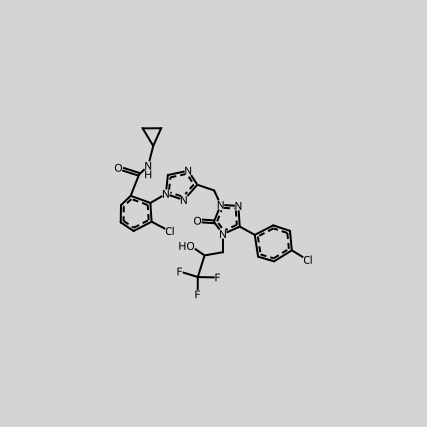 O=C(NC1CC1)c1cccc(Cl)c1-n1cnc(Cn2nc(-c3ccc(Cl)cc3)n(CC(O)C(F)(F)F)c2=O)n1